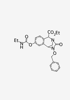 CCNC(=O)Oc1ccc2c(c1)C1CN(C(=O)N1OCc1ccccc1)C2C(=O)OCC